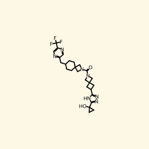 O=C(N1CC2(CCC(Cc3cnc(C(F)(F)F)cn3)CC2)C1)N1CC2(CC(c3nnc(C4(O)CC4)[nH]3)C2)C1